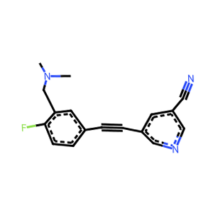 CN(C)Cc1cc(C#Cc2cncc(C#N)c2)ccc1F